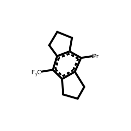 CC(C)c1c2c(c(C(F)(F)F)c3c1CCC3)CCC2